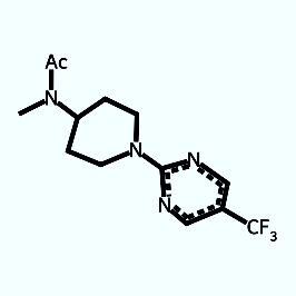 CC(=O)N(C)C1CCN(c2ncc(C(F)(F)F)cn2)CC1